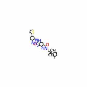 C[Si](C)(CCNC(=O)c1ccc(C(=O)Nc2cc(-c3cccs3)ccc2N)cc1)c1ccccc1